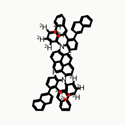 [2H]c1c([2H])c([2H])c(N(c2c(F)ccc(-c3ccc4ccccc4c3)c2-c2ccc3ccccc3c2)c2ccc3ccc4c(N(c5c([2H])c([2H])c([2H])c([2H])c5[2H])c5c(F)ccc(-c6ccc7ccccc7c6)c5-c5ccc6ccccc6c5)ccc5ccc2c3c54)c([2H])c1[2H]